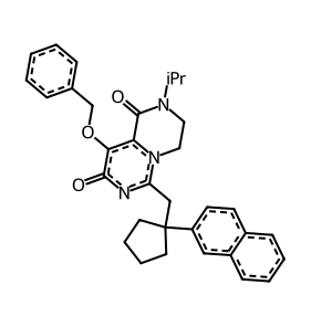 CC(C)N1CCn2c(CC3(c4ccc5ccccc5c4)CCCC3)nc(=O)c(OCc3ccccc3)c2C1=O